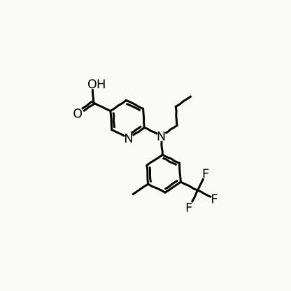 CCCN(c1cc(C)cc(C(F)(F)F)c1)c1ccc(C(=O)O)cn1